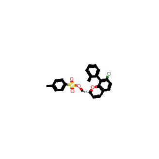 Cc1ccc(S(=O)(=O)OC[C@H]2C=Cc3ccc(Cl)c(-c4ccccc4C)c3O2)cc1